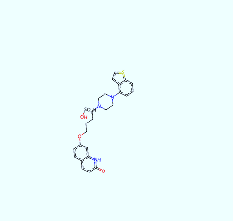 O=S(=O)(O)O.O=c1ccc2ccc(OCCCCN3CCN(c4cccc5sccc45)CC3)cc2[nH]1